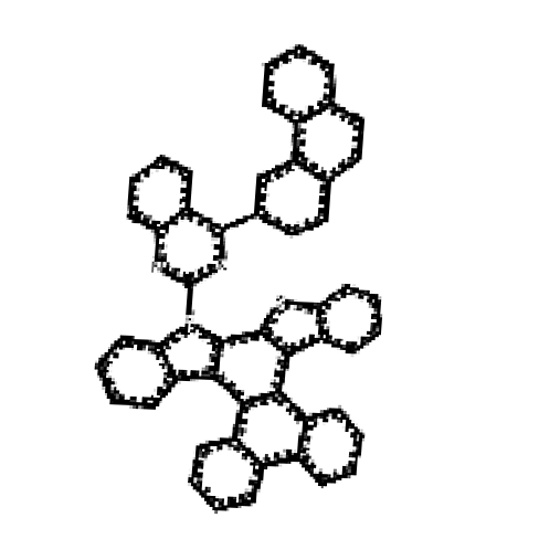 c1ccc2c(c1)ccc1ccc(-c3nc(-n4c5ccccc5c5c6c7ccccc7c7ccccc7c6c6c7ccccc7sc6c54)nc4ccccc34)cc12